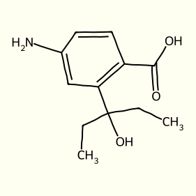 CCC(O)(CC)c1cc(N)ccc1C(=O)O